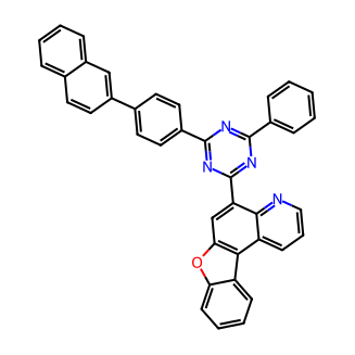 c1ccc(-c2nc(-c3ccc(-c4ccc5ccccc5c4)cc3)nc(-c3cc4oc5ccccc5c4c4cccnc34)n2)cc1